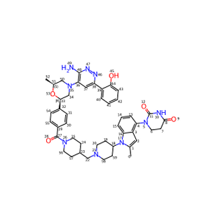 Cc1cc2c(N3CCC(=O)NC3=O)cccc2n1C1CCN(CC2CCN(C(=O)c3ccc([C@@H]4CN(c5cc(-c6ccccc6O)nnc5N)C[C@H](C)O4)cc3)CC2)CC1